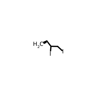 C=CC(I)CI